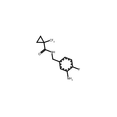 Nc1cc(CNC(=O)C2(C(F)(F)F)CC2)ccc1F